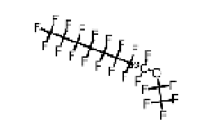 FC(F)(F)C(F)(F)O[13C](F)(F)C(F)(F)C(F)(F)C(F)(F)C(F)(F)C(F)(F)C(F)(F)C(F)(F)F